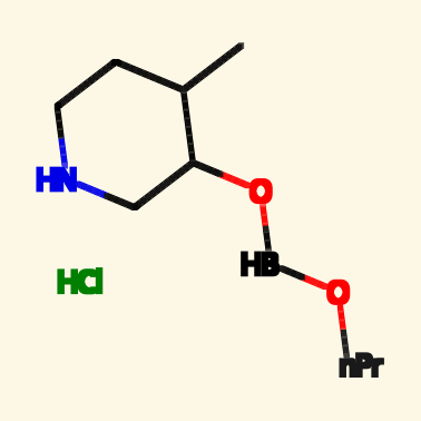 CCCOBOC1CNCCC1C.Cl